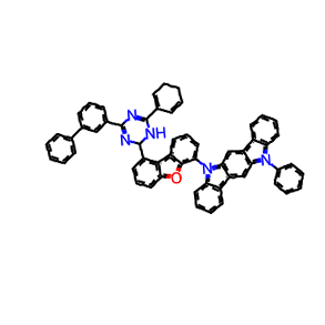 C1=CC(C2=NC(c3cccc(-c4ccccc4)c3)=NC(c3cccc4oc5c(-n6c7ccccc7c7cc8c(cc76)c6ccccc6n8-c6ccccc6)cccc5c34)N2)=CCC1